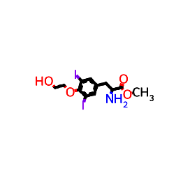 COC(=O)C(N)Cc1cc(I)c(OCCO)c(I)c1